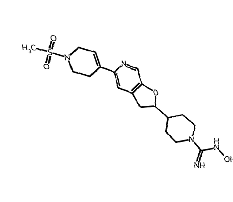 CS(=O)(=O)N1CC=C(c2cc3c(cn2)OC(C2CCN(C(=N)NO)CC2)C3)CC1